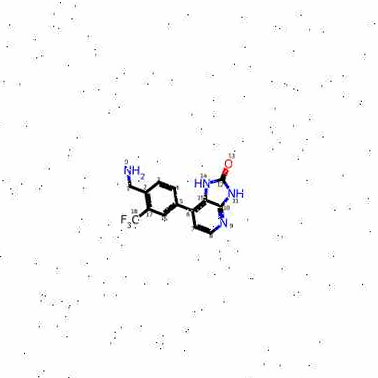 NCc1ccc(-c2ccnc3[nH]c(=O)[nH]c23)cc1C(F)(F)F